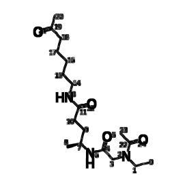 CCN(CC(=O)N[C@@H](C)CCC(=O)NCCCCCC(C)=O)C(C)=O